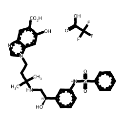 CC(C)(CCn1cnc2cc(C(=O)O)c(O)cc21)NC[C@H](O)c1cccc(NS(=O)(=O)c2ccccc2)c1.O=C(O)C(F)(F)F